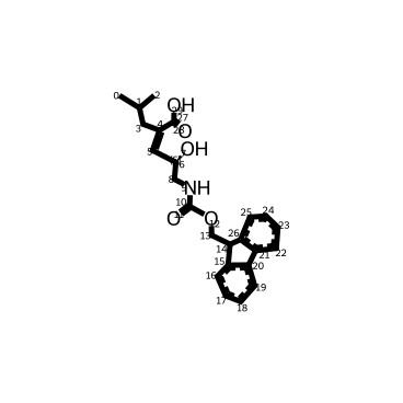 CC(C)CC(=C[C@H](O)CNC(=O)OCC1c2ccccc2-c2ccccc21)C(=O)O